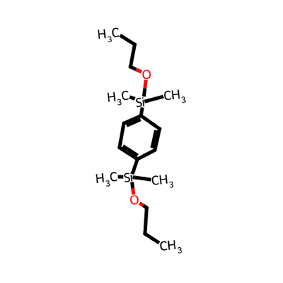 CCCO[Si](C)(C)c1ccc([Si](C)(C)OCCC)cc1